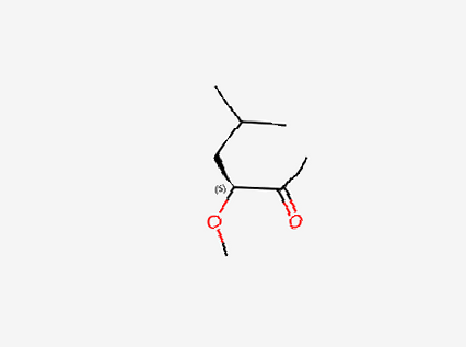 CO[C@@H](CC(C)C)C(C)=O